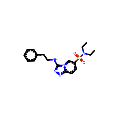 CCN(CC)S(=O)(=O)c1ccc2nnc(NCCc3ccccc3)n2c1